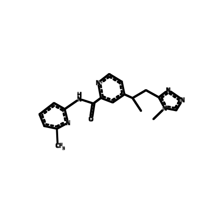 CC(Cc1nncn1C)c1ccnc(C(=O)Nc2cccc(C(F)(F)F)n2)c1